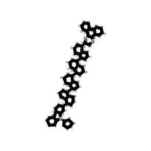 c1ccc(-n2c3ccccc3c3ccc(-c4cccc5c(-c6cccc7c(-c8cccc9c(-c%10cccc%11c(-c%12cnc%13c%14ccccc%14c%14ccccc%14c%13n%12)cccc%10%11)cccc89)cccc67)cccc45)cc32)cc1